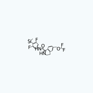 C[Si](C)(C)c1c(F)cc(NC(=O)[C@@H]2NCCc3cc(COC(F)F)ccc32)cc1F